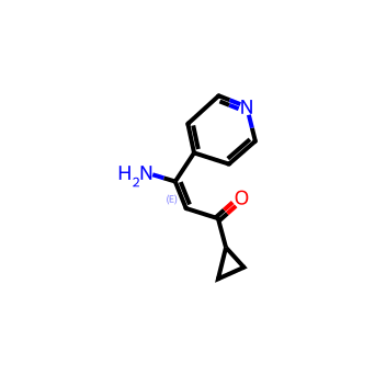 N/C(=C/C(=O)C1CC1)c1ccncc1